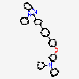 c1ccc(N(c2ccccc2)c2ccc(Oc3ccc(-c4ccc(-c5ccc(-c6nc7ccccc7n6-c6ccccc6)cc5)cc4)cc3)cc2)cc1